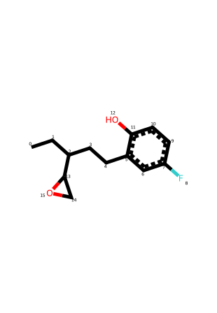 CCC(CCc1cc(F)ccc1O)C1CO1